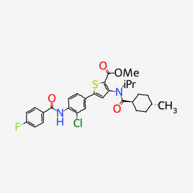 COC(=O)c1sc(-c2ccc(NC(=O)c3ccc(F)cc3)c(Cl)c2)cc1N(C(=O)[C@H]1CC[C@H](C)CC1)C(C)C